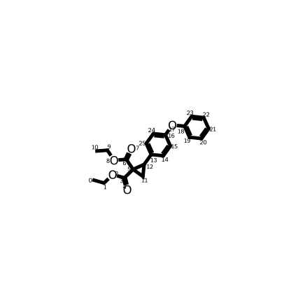 CCOC(=O)C1(C(=O)OCC)CC1c1ccc(Oc2ccccc2)cc1